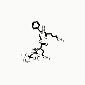 C=CCCC(=O)N[C@H](CCOC(=O)C(CC=C)NC(=O)OC(C)(C)C)c1ccccc1